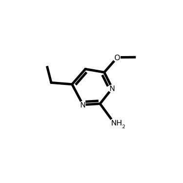 CCc1cc(OC)nc(N)n1